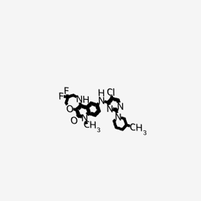 CC1CCCN(c2ncc(Cl)c(Nc3ccc4c(c3)c3c(c(=O)n4C)OCC(F)(F)CN3)n2)C1